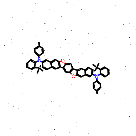 Cc1ccc(N(c2ccc3cc4c(cc3c2)oc2cc3c(cc24)oc2cc4cc(N(c5ccc(C)cc5)c5ccccc5C(C)(C)C)ccc4cc23)c2ccccc2C(C)(C)C)cc1